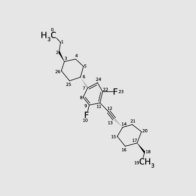 CCC[C@H]1CC[C@H](c2cc(F)c(C#C[C@H]3CC[C@H](CC)CC3)c(F)c2)CC1